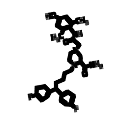 Cc1cc(O)cc(C)c1NC(=O)CN1CCN(CCCCC(c2ccc(F)cc2)c2ccc(F)cc2)C(C(N)=O)C1